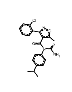 Cc1onc(-c2ccccc2Cl)c1C(=O)N(C(N)=S)c1ccc(C(C)C)cc1